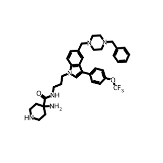 NC1(C(=O)NCCCn2cc(-c3ccc(OC(F)(F)F)cc3)c3cc(CN4CCN(Cc5ccccc5)CC4)ccc32)CCNCC1